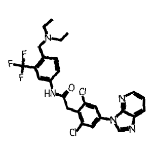 CCN(CC)Cc1ccc(NC(=O)Cc2c(Cl)cc(-n3cnc4cccnc43)cc2Cl)cc1C(F)(F)F